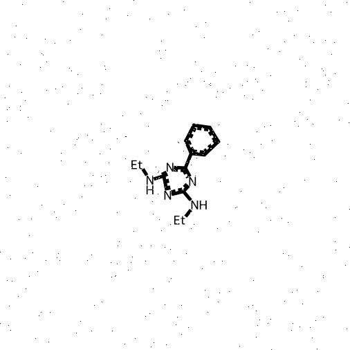 CCNc1nc(NCC)nc(-c2ccccc2)n1